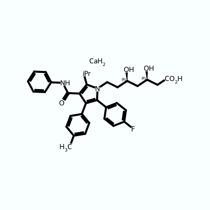 Cc1ccc(-c2c(C(=O)Nc3ccccc3)c(C(C)C)n(CC[C@@H](O)C[C@@H](O)CC(=O)O)c2-c2ccc(F)cc2)cc1.[CaH2]